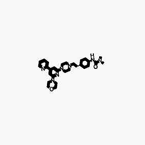 CN(C)C(=O)N[C@H]1CC[C@H](CCN2CCN(c3cc(-c4ccccn4)cc(N4CCOCC4)n3)CC2)CC1